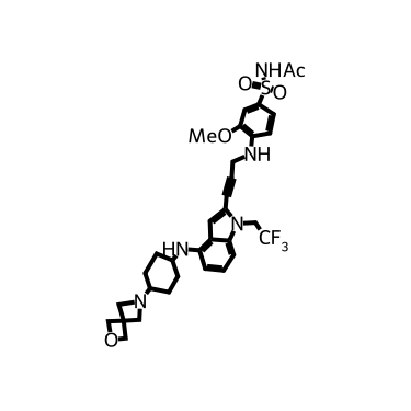 COc1cc(S(=O)(=O)NC(C)=O)ccc1NCC#Cc1cc2c(NC3CCC(N4CC5(COC5)C4)CC3)cccc2n1CC(F)(F)F